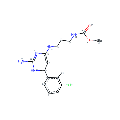 Cc1c(Cl)cccc1C1C=C(NCCCNC(=O)OC(C)(C)C)N=C(N)N1